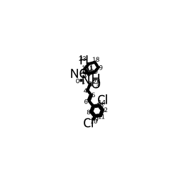 CN(C(=O)C/C=C/c1cc(Cl)ccc1Cl)[C@@H]1C[C@@H]2CC[C@H]1N2C#N